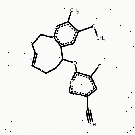 C#Cc1ccc(OC2CC/C=C/CCc3cc(C)c(OC)cc32)c(F)c1